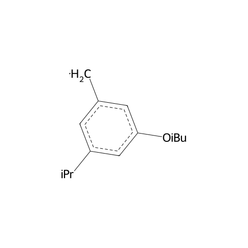 [CH2]c1cc(OCC(C)C)cc(C(C)C)c1